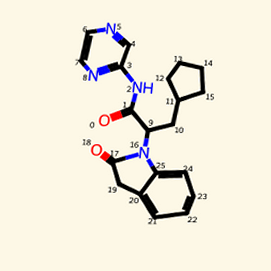 O=C(Nc1cnccn1)C(CC1CCCC1)N1C(=O)Cc2ccccc21